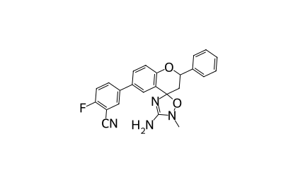 CN1OC2(CC(c3ccccc3)Oc3ccc(-c4ccc(F)c(C#N)c4)cc32)N=C1N